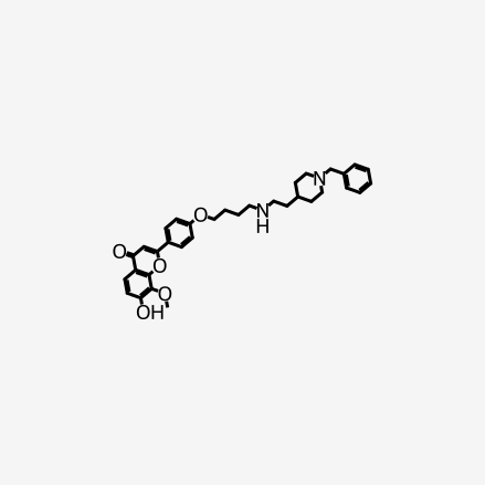 COc1c(O)ccc2c(=O)cc(-c3ccc(OCCCCNCCC4CCN(Cc5ccccc5)CC4)cc3)oc12